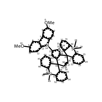 COc1ccc2c(c1)c1cc(OC)ccc1n2-c1cc2c(s1)C1(c3ccccc3[Si](C)(C)c3ccccc31)c1ccsc1C21c2ccccc2[Si](C)(C)c2ccccc21